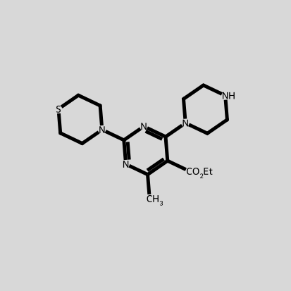 CCOC(=O)c1c(C)nc(N2CCSCC2)nc1N1CCNCC1